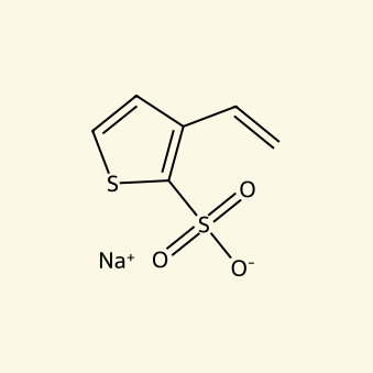 C=Cc1ccsc1S(=O)(=O)[O-].[Na+]